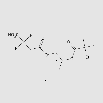 CCC(C)(C)C(=O)OC(C)COC(=O)CC(F)(F)C(=O)O